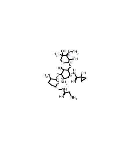 C/N=C1\C(O)[C@@H](OC2C(O)C(O[C@H]3O[C@H](CNC(=N)CN)CCC3N)[C@@H](N)C[C@H]2NC(=N)C2(O)CC2)OCC1(C)O